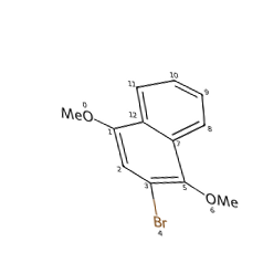 COc1cc(Br)c(OC)c2ccccc12